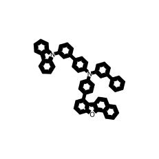 c1ccc(-c2cccc(N(c3ccc(-c4cccc(-n5c6ccccc6c6ccccc65)c4)cc3)c3ccc(-c4cccc5oc6c7ccccc7ccc6c45)cc3)c2)cc1